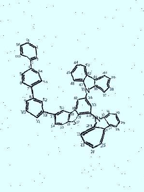 c1ccc(-c2ccc(-c3cccc(-c4ccc5sc6c(-n7c8ccccc8c8ccccc87)cc(-n7c8ccccc8c8ccccc87)cc6c5c4)c3)cc2)cc1